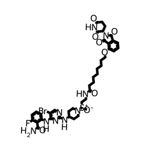 NC(=O)c1c(F)cccc1Nc1nc(NC2CCN([S+]([O-])CCNC(=O)CCCCCCCCOc3cccc4c3C(=O)N(C3CCC(=O)NC3=O)C4=O)CC2)ncc1Br